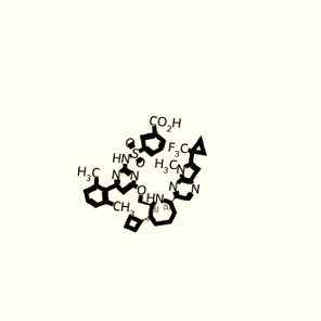 Cc1cccc(C)c1-c1cc(OC[C@H]2N[C@H](c3cnc4cc(C5(C(F)(F)F)CC5)n(C)c4n3)CCC[C@@H]2C2CCC2)nc(NS(=O)(=O)c2cccc(C(=O)O)c2)n1